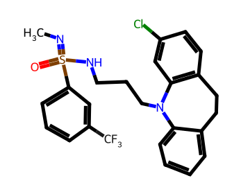 CN=S(=O)(NCCCN1c2ccccc2CCc2ccc(Cl)cc21)c1cccc(C(F)(F)F)c1